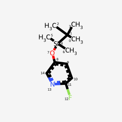 CC(C)(C)[Si](C)(C)Oc1ccc(F)nc1